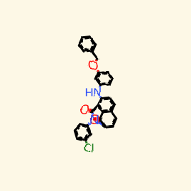 O=C1c2c3ccc(Nc4cccc(OCc5ccccc5)c4)c2C(=O)N(c2cccc(Cl)c2)C1C=C3